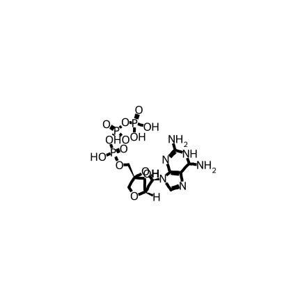 NC1=Nc2c(ncn2[C@@H]2O[C@@]3(COP(=O)(O)OP(=O)(O)OP(=O)(O)O)CO[C@@H]2[C@@H]3O)C(N)N1